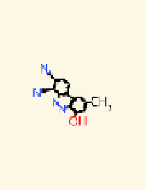 Cc1cc(O)c2nnc3c(C#N)c(C#N)ccc3c2c1